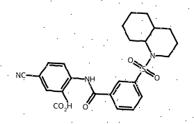 N#Cc1ccc(NC(=O)c2cccc(S(=O)(=O)N3CCCC4CCCCC43)c2)c(C(=O)O)c1